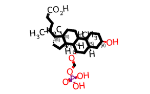 C[C@H](CCC(=O)O)[C@H]1CC[C@H]2[C@@H]3[C@@H](OCOP(=O)(O)O)C[C@@H]4C[C@H](O)CC[C@]4(C)[C@H]3CC[C@]12C